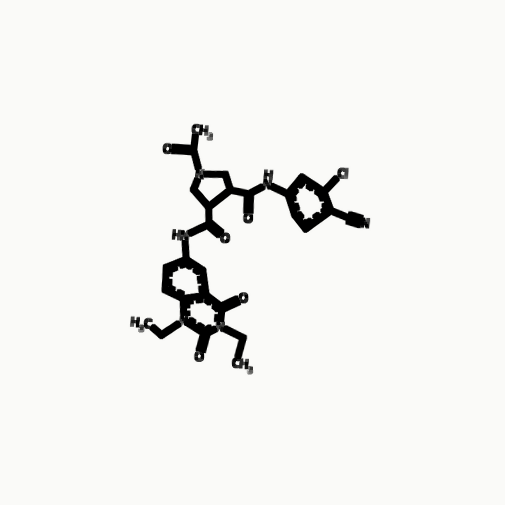 CCn1c(=O)c2cc(NC(=O)C3CN(C(C)=O)CC3C(=O)Nc3ccc(C#N)c(Cl)c3)ccc2n(CC)c1=O